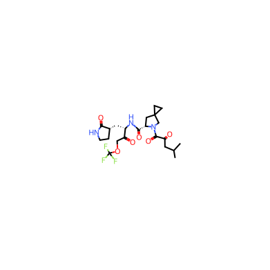 CC(C)CC(=O)C(=O)N1CC2(CC2)C[C@H]1C(=O)N[C@@H](C[C@@H]1CCNC1=O)C(=O)COC(F)(F)F